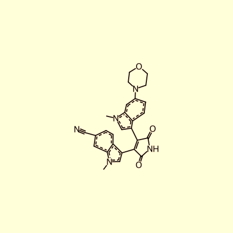 Cn1cc(C2=C(c3cn(C)c4cc(N5CCOCC5)ccc34)C(=O)NC2=O)c2ccc(C#N)cc21